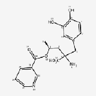 C[C@@H](CC(N)(Cc1ccc(O)c(O)c1)C(=O)O)OC(=O)c1cccnc1